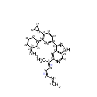 C=N/C=C\C=C(/C)c1cc2c(-c3ccc(C4CC4)c(N4CCC[C@H](N)C4)n3)n[nH]c2cn1